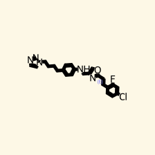 Fc1cc(Cl)ccc1/C=C/c1nc(CNc2ccc(CCCCn3ccnn3)cc2)co1